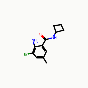 Cc1cc(Br)c(N)c(C(=O)NC2CCC2)c1